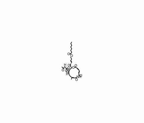 CCCCCCCC(=O)OCC/C=C/[C@@H]1O[C@@H]1[C@@H]1OC(=O)/C=C\C=C\C(=O)NC(=O)/C=C(/C)CC[C@@H]2O[C@H]2[C@H]1OC(=O)NC(C)=O